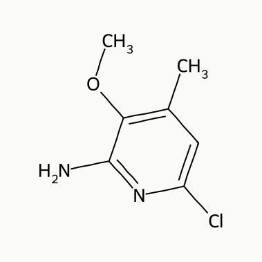 COc1c(C)cc(Cl)nc1N